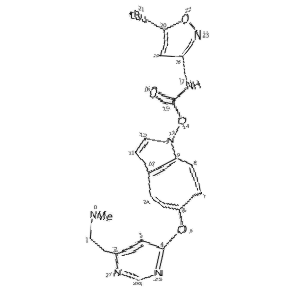 CNCc1cc(Oc2ccc3c(ccn3OC(=O)Nc3cc(C(C)(C)C)on3)c2)ncn1